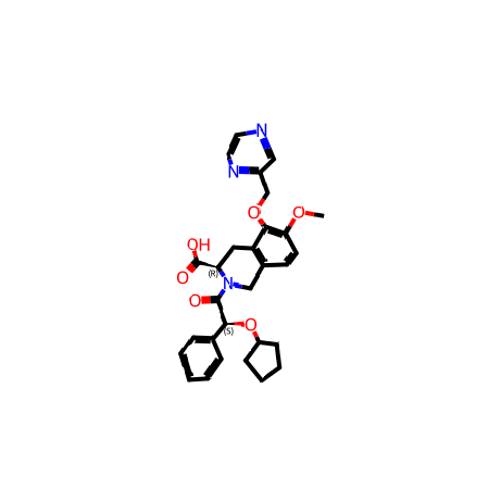 COc1ccc2c(c1OCc1cnccn1)C[C@H](C(=O)O)N(C(=O)[C@@H](OC1CCCC1)c1ccccc1)C2